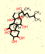 CC(C)CCC(O)[C@](C)(O)[C@H]1CCC2(O)C3=CC(=O)C4(O)CC(O)C(O)C[C@]4(C)[C@H]3C(O)C[C@]12C